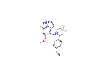 C=Cc1ccc(C2CC(F)(F)CCN2Cc2c(OC)cc(C)c3[nH]ccc23)cc1